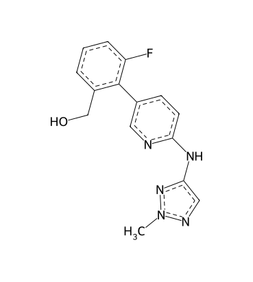 Cn1ncc(Nc2ccc(-c3c(F)cccc3CO)cn2)n1